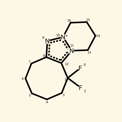 FC1(F)CCCCCc2n[n+]3n(c21)CCCC3